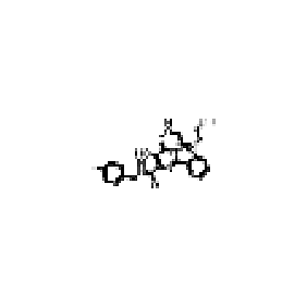 Cn1c(-c2ccccc2N(CCO)CCO)nc(C(=O)NCc2ccc(F)cc2)c(O)c1=O